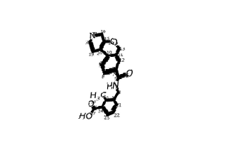 Cc1c(CNC(=O)c2ccc3c(c2)COc2cnccc2-3)cccc1C(=O)O